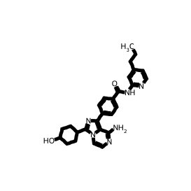 CCCc1ccnc(NC(=O)c2ccc(-c3nc(C4CCC(O)CC4)n4ccnc(N)c34)cc2)c1